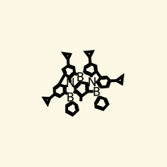 Cc1c2c3c4c5c1B(c1ccccc1)c1cc(C6CC6)cc6c7cc(C8CC8)cc(c7n-5c16)B4c1cc(C4CC4)cc4c5cc(C6CC6)cc(c5n-3c14)B2c1ccccc1